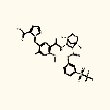 COc1cc(F)c(Cn2nccc2C(=O)O)cc1C(=O)N[C@@H]1[C@H]2CC[C@H](C2)[C@@H]1C(=O)Nc1cccc(S(=O)(=O)C(F)(F)F)c1